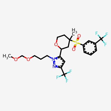 COCOCCCn1nc(C(F)(F)F)cc1C1CC(C)(S(=O)(=O)c2cccc(C(F)(F)F)c2)CCO1